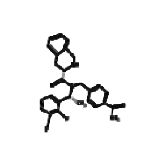 CC(=O)c1ccc(CN(C(=O)[C@@H]2Cc3ccccc3CN2)[C@H](C)c2cccc(F)c2F)cc1